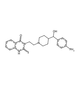 O=c1c2ccccc2[nH]c(=S)n1CCN1CCC(C(O)c2ccc(P)cc2)CC1